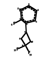 Fc1ncccc1C1CC(F)(F)C1